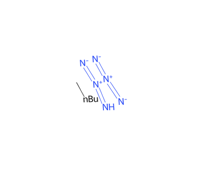 CCCCC.[N-]=[N+]=N.[N-]=[N+]=[N-]